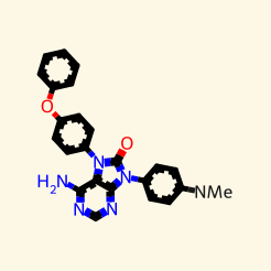 CNc1ccc(-n2c(=O)n(-c3ccc(Oc4ccccc4)cc3)c3c(N)ncnc32)cc1